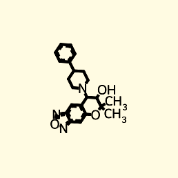 CC1(C)Oc2cc3nonc3cc2C(N2CCC(c3ccccc3)CC2)C1O